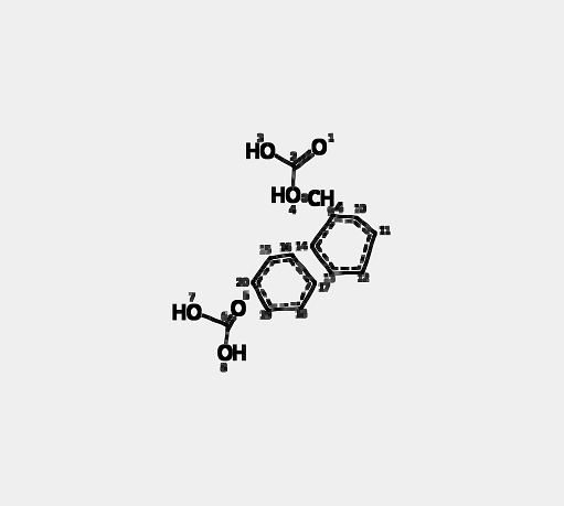 C.O=C(O)O.O=C(O)O.c1ccccc1.c1ccccc1